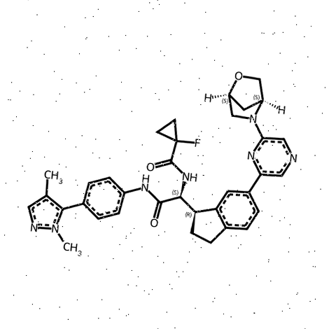 Cc1cnn(C)c1-c1ccc(NC(=O)[C@@H](NC(=O)C2(F)CC2)[C@@H]2CCc3ccc(-c4cncc(N5C[C@@H]6C[C@H]5CO6)n4)cc32)cc1